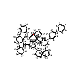 c1ccc(-c2ccc(-c3cc(-c4ccccc4)nc(-c4ccc(-n5c6ccccc6c6ccc7c8ccccc8n(-c8nc(-c9ccccc9)nc(-c9ccccc9)n8)c7c65)cc4)n3)cc2)cc1